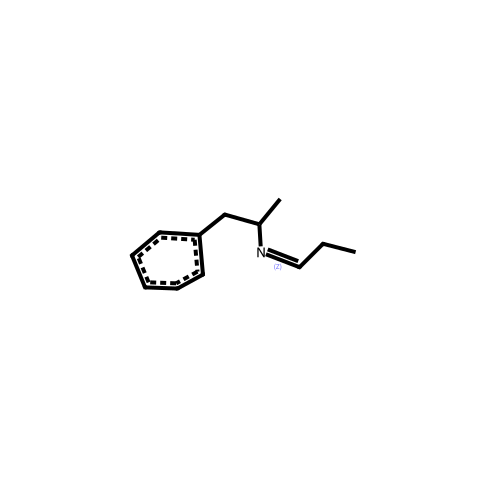 CC/C=N\C(C)Cc1ccccc1